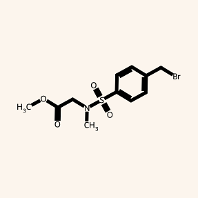 COC(=O)CN(C)S(=O)(=O)c1ccc(CBr)cc1